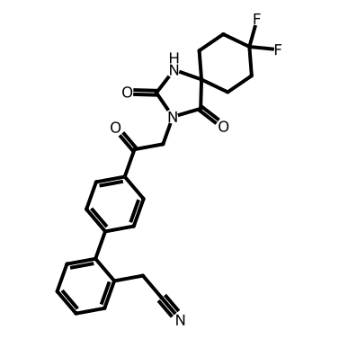 N#CCc1ccccc1-c1ccc(C(=O)CN2C(=O)NC3(CCC(F)(F)CC3)C2=O)cc1